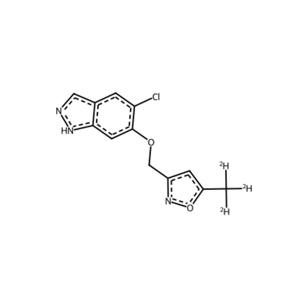 [2H]C([2H])([2H])c1cc(COc2cc3[nH]ncc3cc2Cl)no1